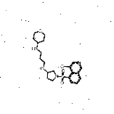 O=S(=O)(c1cccc2cncc(Cl)c12)N1CC[C@@H](NCCCNC2CCOCC2)C1